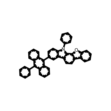 c1ccc(-c2c3ccccc3c(-c3ccc4c(c3)c3ccc5c6ccccc6oc5c3n4-c3ccccc3)c3ccccc23)cc1